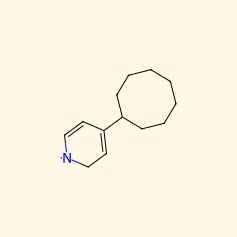 C1=CC(C2CCCCCCC2)=CC[N]1